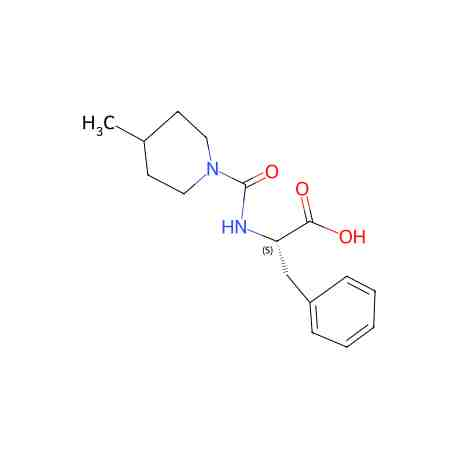 CC1CCN(C(=O)N[C@@H](Cc2ccccc2)C(=O)O)CC1